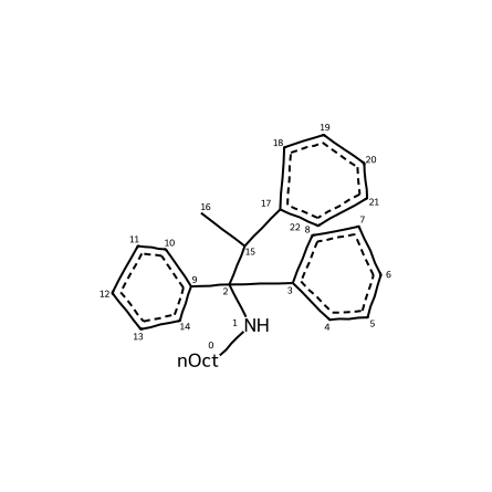 CCCCCCCCNC(c1ccccc1)(c1ccccc1)C(C)c1ccccc1